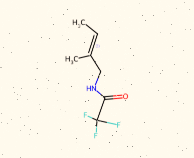 C/C=C(\C)CNC(=O)C(F)(F)F